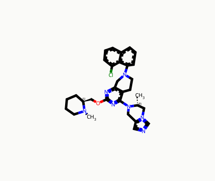 C[C@@H]1Cn2cncc2CN1c1nc(OC[C@@H]2CCCCN2C)nc2c1CCN(c1cccc3cccc(Cl)c13)C2